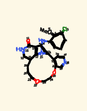 COc1c(Cl)cccc1Nc1c2[nH]c3c1C(=O)NCC3CCCOCCOc1cnccc1-2